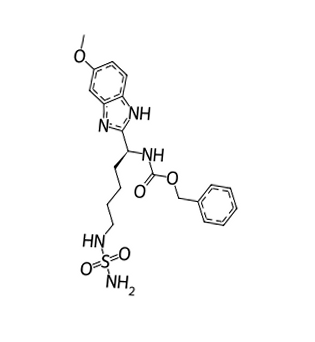 COc1ccc2[nH]c([C@H](CCCCNS(N)(=O)=O)NC(=O)OCc3ccccc3)nc2c1